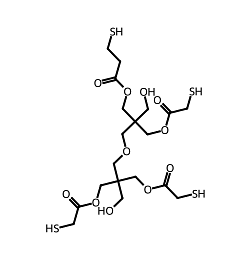 O=C(CS)OCC(CO)(COCC(CO)(COC(=O)CS)COC(=O)CCS)COC(=O)CS